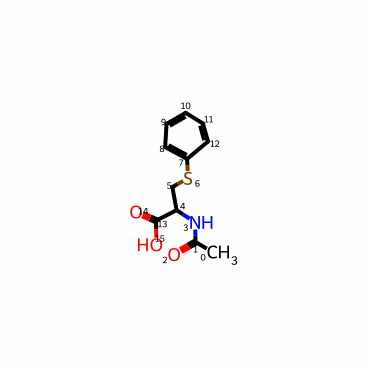 CC(=O)NC(CSc1ccccc1)C(=O)O